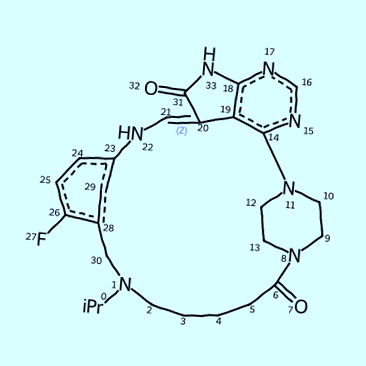 CC(C)N1CCCCC(=O)N2CCN(CC2)c2ncnc3c2/C(=C/Nc2ccc(F)c(c2)C1)C(=O)N3